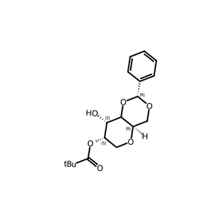 CC(C)(C)C(=O)O[C@H]1CO[C@@H]2CO[C@@H](c3ccccc3)OC2[C@H]1O